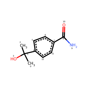 CC(C)(O)c1ccc(C(N)=O)cc1